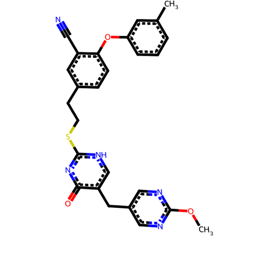 COc1ncc(Cc2c[nH]c(SCCc3ccc(Oc4cccc(C)c4)c(C#N)c3)nc2=O)cn1